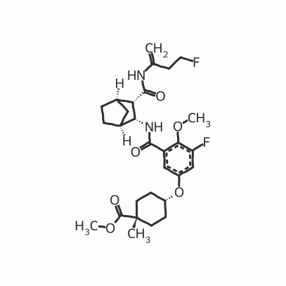 C=C(CCF)NC(=O)[C@H]1[C@@H]2CC[C@@H](C2)[C@H]1NC(=O)c1cc(O[C@H]2CC[C@@](C)(C(=O)OC)CC2)cc(F)c1OC